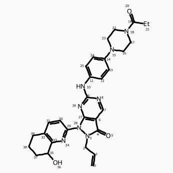 C=CCn1c(=O)c2cnc(Nc3ccc(N4CCN(C(=O)CC)CC4)cc3)nc2n1-c1ccc2c(n1)C(O)CCC2